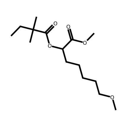 CCC(C)(C)C(=O)OC(CCCCCOC)C(=O)OC